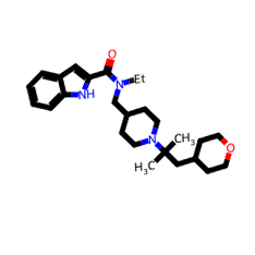 CCN(CC1CCN(C(C)(C)CC2CCOCC2)CC1)C(=O)c1cc2ccccc2[nH]1